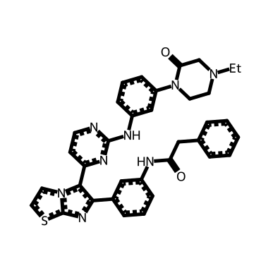 CCN1CCN(c2cccc(Nc3nccc(-c4c(-c5cccc(NC(=O)Cc6ccccc6)c5)nc5sccn45)n3)c2)C(=O)C1